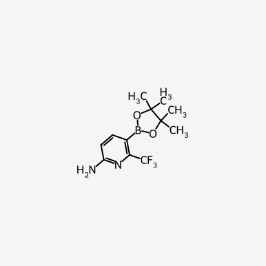 CC1(C)OB(c2ccc(N)nc2C(F)(F)F)OC1(C)C